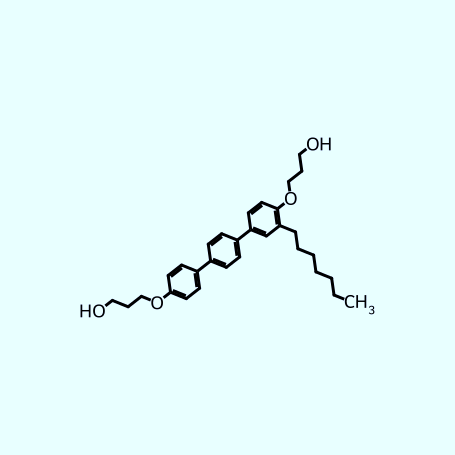 CCCCCCCc1cc(-c2ccc(-c3ccc(OCCCO)cc3)cc2)ccc1OCCCO